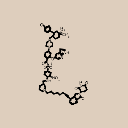 CC1(C)CCC(CN2CCN(c3ccc(C(=O)NS(=O)(=O)c4ccc(NCC5CCCN(CCCCCCC#Cc6cccc7c6CN(C6CCC(=O)NC6=O)C7=O)C5)c([N+](=O)[O-])c4)c(Oc4cnc5[nH]ccc5c4)c3)CC2)=C(c2ccc(Cl)cc2)C1